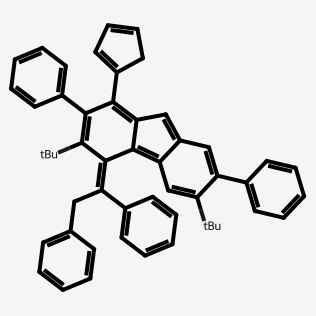 CC(C)(C)c1cc2c(cc1-c1ccccc1)=Cc1c(C3=CC=CC3)c(-c3ccccc3)c(C(C)(C)C)c(=C(Cc3ccccc3)c3ccccc3)c1=2